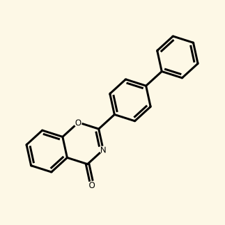 O=c1nc(-c2ccc(-c3ccccc3)cc2)oc2ccccc12